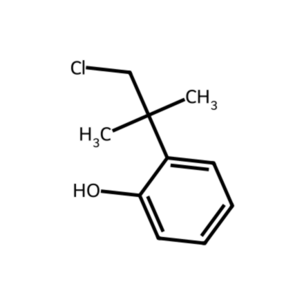 CC(C)(CCl)c1ccccc1O